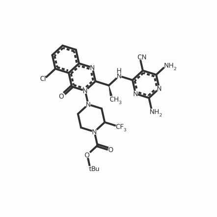 C[C@H](Nc1nc(N)nc(N)c1C#N)c1nc2cccc(Cl)c2c(=O)n1N1CCN(C(=O)OC(C)(C)C)C(C(F)(F)F)C1